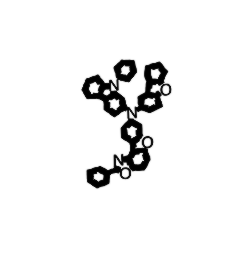 c1ccc(-c2nc3c(ccc4oc5cc(N(c6ccc7oc8ccccc8c7c6)c6ccc7c8ccccc8n(-c8ccccc8)c7c6)ccc5c43)o2)cc1